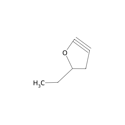 CCC1CC#CO1